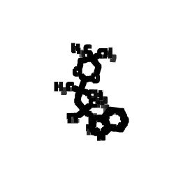 CCC(C)(CC(C)(C)C1OCC(C)(C)CO1)n1nnc2ccccc21